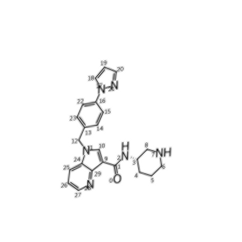 O=C(N[C@H]1CCCNC1)c1cn(Cc2ccc(-n3cccn3)cc2)c2cccnc12